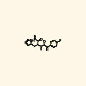 O=C(Nc1ccc(F)cc1)NC(Cc1cnc[nH]1)C(=O)O